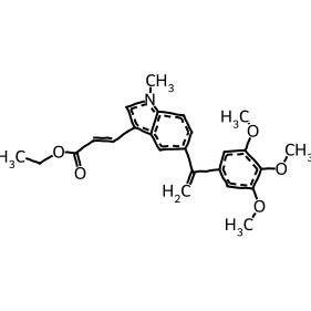 C=C(c1cc(OC)c(OC)c(OC)c1)c1ccc2c(c1)c(/C=C/C(=O)OCC)cn2C